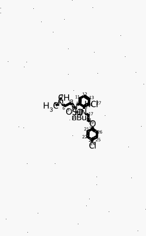 CCCCS(=O)(=O)N(CCN(C)C)c1ccccc1NCCOc1ccc(Cl)cc1.Cl